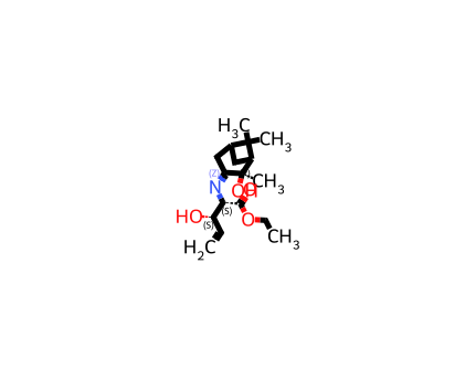 C=C[C@H](O)[C@H](/N=C1/CC2CC(C2(C)C)[C@@]1(C)O)C(=O)OCC